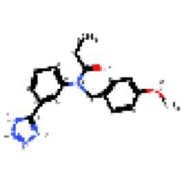 CCC(=O)N(Cc1ccc(OC)cc1)c1cccc(-c2nnn[nH]2)c1